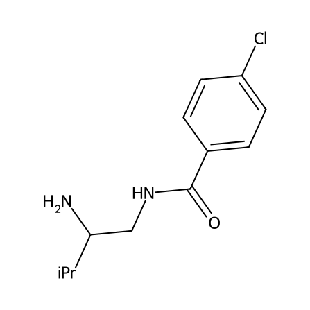 CC(C)C(N)CNC(=O)c1ccc(Cl)cc1